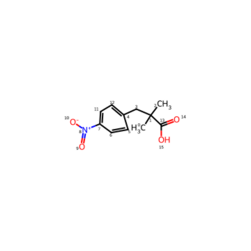 CC(C)(Cc1ccc([N+](=O)[O-])cc1)C(=O)O